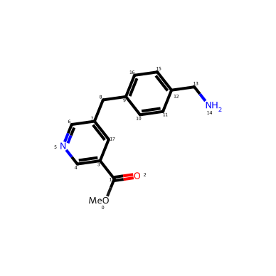 COC(=O)c1cncc(Cc2ccc(CN)cc2)c1